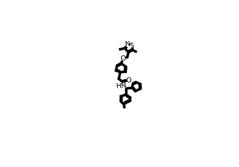 Cc1ccc(C(NC(=O)Cc2ccc(OCc3c(C)nsc3C)cc2)c2ccccc2)cc1